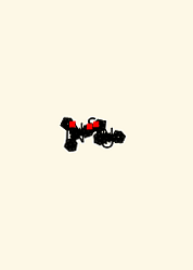 c1ccc(-c2nc(-c3ccccc3)nc(-c3ccc4c(c3)sc3cccc(-c5cccc6oc(-c7ccccc7)nc56)c34)n2)cc1